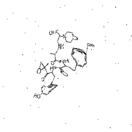 COc1ccc(CC(NC(=O)C(C)NCC(C=O)N2CCOCC2)C(=O)NC(Cc2ccc(O)cc2)C(=O)C2(C)CO2)cc1